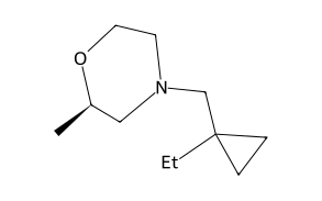 CCC1(CN2CCO[C@H](C)C2)CC1